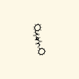 O=C(COC1CCCCCCCC1)NC12CC(NC(=O)CC3CCCCCCCC3)(C1)C2